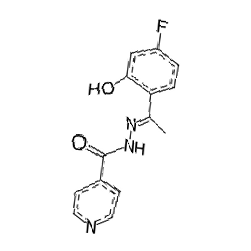 C/C(=N\NC(=O)c1ccncc1)c1ccc(F)cc1O